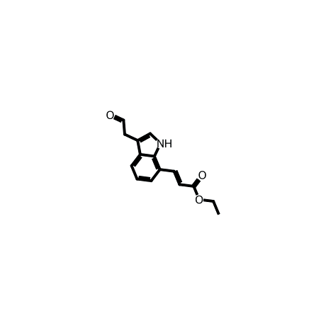 CCOC(=O)/C=C/c1cccc2c(CC=O)c[nH]c12